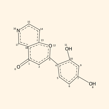 O=c1cc(-c2ccc(O)cc2O)oc2ccncc12